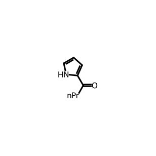 CCCC(=O)c1ccc[nH]1